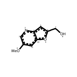 COc1cnc2cc(CO)oc2c1